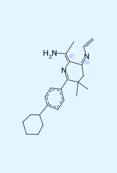 C=C/N=C1/CC(C)(C)C(c2ccc(C3CCCCC3)cc2)=N/C1=C(/C)N